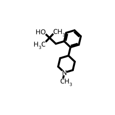 CN1CCC(c2ccccc2CC(C)(C)O)CC1